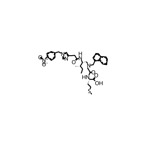 CC[C@H](C)[C@@H](CN(CC(=O)N[C@@H](CCSC)C(=O)O)Cc1cccc2ccccc12)NC(=O)Cc1cn(Cc2ccc([N+](=O)[O-])cc2)cn1